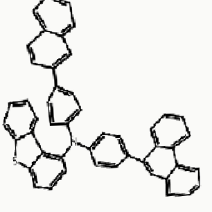 c1ccc2cc(-c3ccc(N(c4ccc(-c5cc6ccccc6c6ccccc56)cc4)c4cccc5sc6ccccc6c45)cc3)ccc2c1